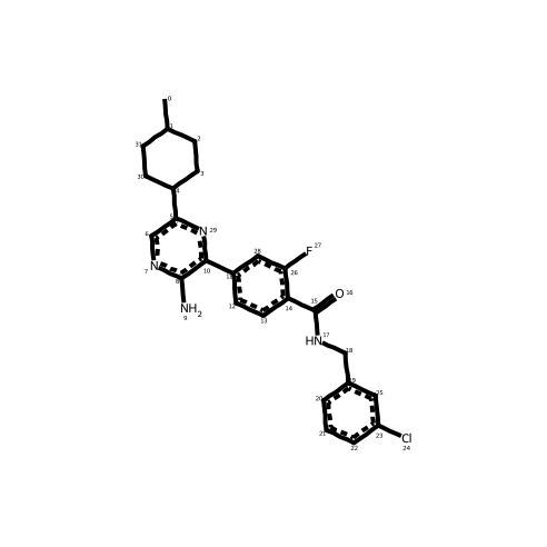 CC1CCC(c2cnc(N)c(-c3ccc(C(=O)NCc4cccc(Cl)c4)c(F)c3)n2)CC1